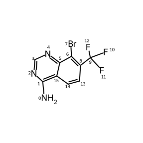 Nc1ncnc2c(Br)c(C(F)(F)F)ccc12